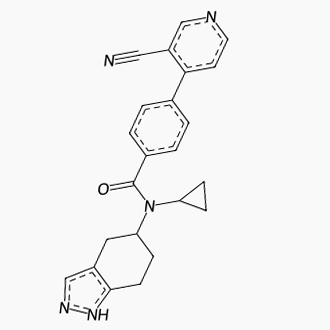 N#Cc1cnccc1-c1ccc(C(=O)N(C2CC2)C2CCc3[nH]ncc3C2)cc1